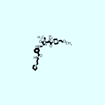 CCN1C(=O)[C@@H](CNc2cccc(C(=O)NCCCN3CCCC3)c2)S/C1=C(/N)C(=O)N1CCN(CCOC)CC1